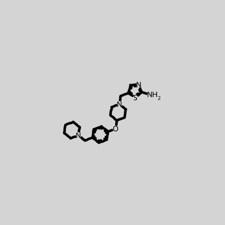 Nc1ncc(CN2CCC(Oc3ccc(CN4CCCCC4)cc3)CC2)s1